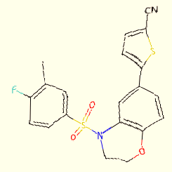 Cc1cc(S(=O)(=O)N2CCOc3ccc(-c4ccc(C#N)s4)cc32)ccc1F